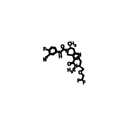 C[C@@H]1Cc2nn3c(c2CN1C(=O)Nc1ccc(F)c(C#N)c1)C(=O)N(C)[C@H](COCC(F)F)C3